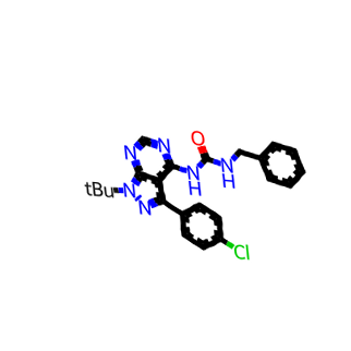 CC(C)(C)n1nc(-c2ccc(Cl)cc2)c2c(NC(=O)NCc3ccccc3)ncnc21